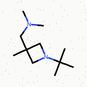 CN(C)CC1(C)CN(C(C)(C)C)C1